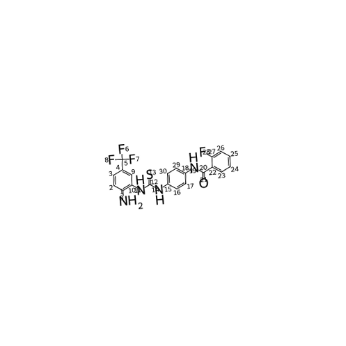 Nc1ccc(C(F)(F)F)cc1NC(=S)Nc1ccc(NC(=O)c2ccccc2F)cc1